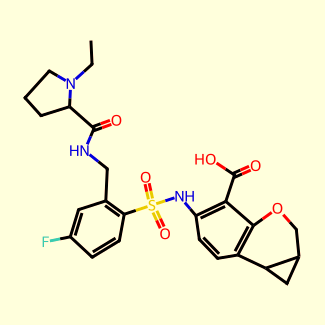 CCN1CCCC1C(=O)NCc1cc(F)ccc1S(=O)(=O)Nc1ccc2c(c1C(=O)O)OCC1CC21